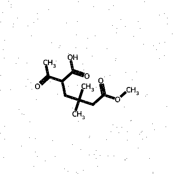 COC(=O)CC(C)(C)CC(C(C)=O)C(=O)O